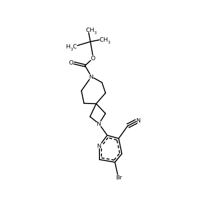 CC(C)(C)OC(=O)N1CCC2(CC1)CN(c1ncc(Br)cc1C#N)C2